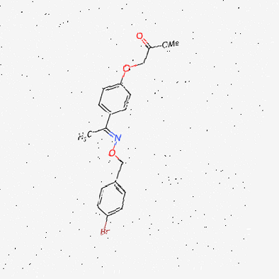 COC(=O)COc1ccc(C(C)=NOCc2ccc(Br)cc2)cc1